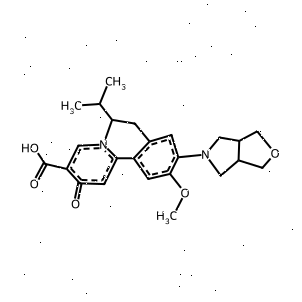 COc1cc2c(cc1N1CC3COCC3C1)CC(C(C)C)n1cc(C(=O)O)c(=O)cc1-2